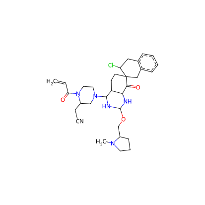 C=CC(=O)N1CCN(C2NC(OCC3CCCN3C)NC3C(=O)C4(CCC32)Cc2ccccc2CC4Cl)CC1CC#N